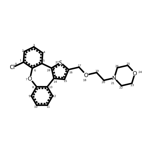 Clc1cccc2c1Oc1ccccc1-c1cc(COCCN3CCOCC3)sc1-2